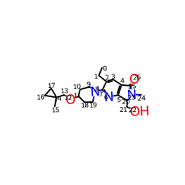 CCc1cc2c(nc1N1CCC(OCC3(C)CC3)CC1)C(CO)N(C)C2=O